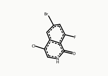 O=c1[nH]cc(Cl)c2cc(Br)cc(F)c12